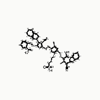 Cc1cc(N=Nc2c(C)c(C#N)c3nc4ccccc4n3c2O)c(OCCCS(=O)(=O)O)cc1N=Nc1sc(N=Nc2ccccc2C(=O)O)c(-c2ccc3ccccc3c2)c1C#N